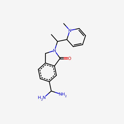 CC(C1C=CC=CN1C)N1Cc2ccc(C(N)N)cc2C1=O